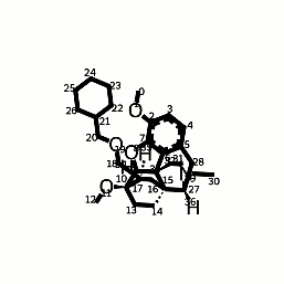 COc1ccc2c3c1O[C@H]1[C@@]4(OC)CC[C@@]5(C[C@@H]4COCC4CCCCC4)[C@@H](C2)N(C)CC[C@]315